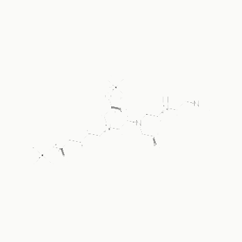 CC(C)(C)OC(=O)CCCCN(CCN(CC=O)CCNCCN)CC(=O)OC(C)(C)C